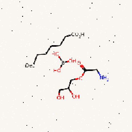 CCCCCCCCCCCCCCCC(=O)O.NCC(=O)OCC(O)CO.OB(O)O